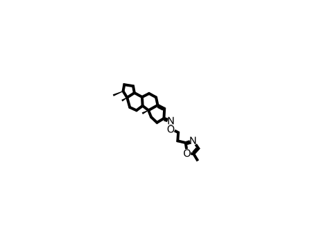 Cc1cnc(CCON=C2C=C3CCC4C(CC[C@@]5(C)C4CC[C@@H]5C)[C@@]3(C)CC2)o1